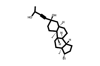 CC[C@H]1CC[C@H]2[C@@H]3CC[C@@H]4C[C@@](O)(C#CC(C)O)CC[C@]4(C)[C@H]3CC[C@]12C